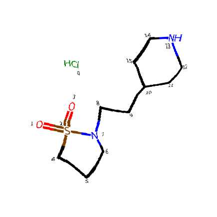 Cl.O=S1(=O)CCCN1CCC1CCNCC1